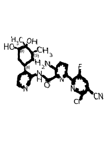 C[C@H]1C[C@@H](c2ccncc2NC(=O)c2nc(-c3nc(Cl)c(C#N)cc3F)ccc2N)C[C@@H](O)[C@]1(C)O